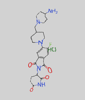 Cl.NC1CCN(CC2CCN(c3cc4c(cc3F)C(=O)N(C3CCC(=O)NC3=O)C4=O)CC2)CC1